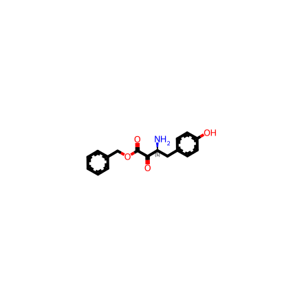 N[C@@H](Cc1ccc(O)cc1)C(=O)C(=O)OCc1ccccc1